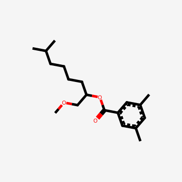 COCC(CCCCC(C)C)OC(=O)c1cc(C)cc(C)c1